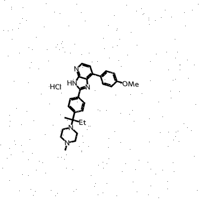 CCC(C)(c1ccc(-c2nc3c(-c4ccc(OC)cc4)ccnc3[nH]2)cc1)N1CCN(C)CC1.Cl